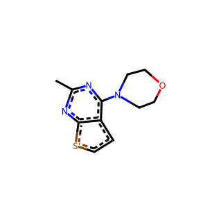 Cc1nc(N2CCOCC2)c2ccsc2n1